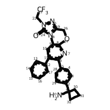 NC1(c2ccc(-c3nc4c(cc3-c3ccccc3)-n3c(nn(CC(F)(F)F)c3=O)CO4)cc2)CCC1